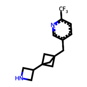 FC(F)(F)c1ccc(CC23CC(C4CNC4)(C2)C3)cn1